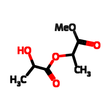 COC(=O)C(C)OC(=O)C(C)O